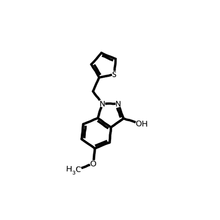 COc1ccc2c(c1)c(O)nn2Cc1cccs1